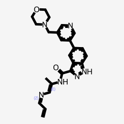 C=C/C=N\C=C(/C)NC(=O)c1n[nH]c2ccc(-c3cncc(CN4CCOCC4)c3)cc12